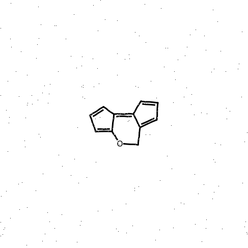 C1=CC2=C3C=CC=C3OCC2=C1